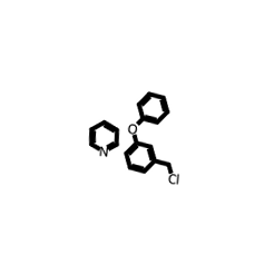 ClCc1cccc(Oc2ccccc2)c1.c1ccncc1